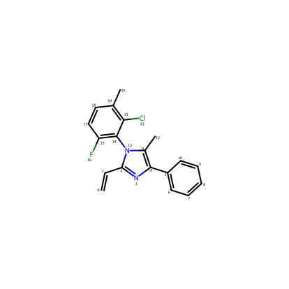 C=Cc1nc(-c2ccccc2)c(C)n1-c1c(F)ccc(C)c1Cl